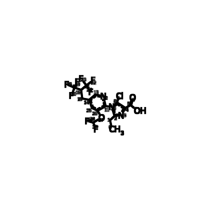 CCc1nc(C(=O)O)c(Cl)n1-c1ncc(CC(C(F)(F)F)C(F)(F)F)cc1OC(F)F